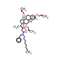 C=CCO[C@@H]1CC[C@@]2(C)C(C1)C[C@@H](OCC=C)C1[C@@H]3CC[C@H]([C@H](C)CCC(=O)N(CCCCCCCC)Cc4ccccc4)[C@@]3(C)[C@@H](OCC=C)C[C@@H]12